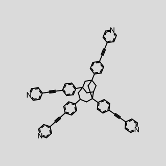 C(#Cc1ccc(C2CC3(c4ccc(C#Cc5ccncc5)cc4)CC4CC(c5ccc(C#Cc6ccncc6)cc5)(C3)CC4(c3ccc(C#Cc4ccncc4)cc3)C2)cc1)c1ccncc1